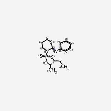 CCCSP(=S)(OCC)N1CCCS/C1=N\c1ccccc1